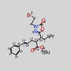 CC(C)C[C@H](c1nn(CCBr)c(=O)o1)C(C/C=C/c1ccccc1)C(=O)OC(C)(C)C